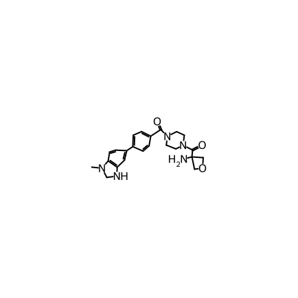 CN1CNc2cc(-c3ccc(C(=O)N4CCN(C(=O)C5(N)COC5)CC4)cc3)ccc21